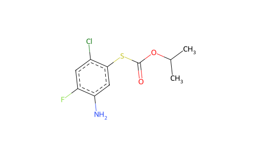 CC(C)OC(=O)Sc1cc(N)c(F)cc1Cl